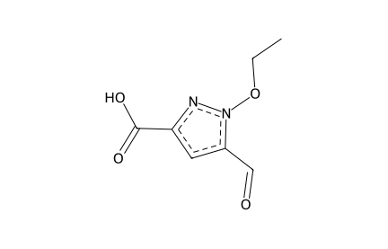 CCOn1nc(C(=O)O)cc1C=O